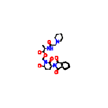 CC(NC(=O)CN1CCCCC1)C(=O)OCN1C(=O)CCC(N2C(=O)c3ccccc3C2=O)C1=O